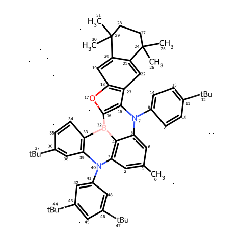 Cc1cc2c3c(c1)N(c1ccc(C(C)(C)C)cc1)c1c(oc4cc5c(cc14)C(C)(C)CCC5(C)C)B3c1ccc(C(C)(C)C)cc1N2c1cc(C(C)(C)C)cc(C(C)(C)C)c1